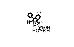 COc1ccc2c(C(=O)N[C@@H]3CS(O)(O)CC3O)nc(C#N)c(-c3ccccc3)c2c1